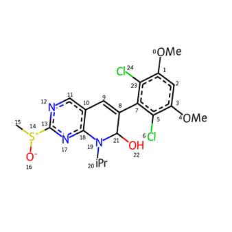 COc1cc(OC)c(Cl)c(C2=Cc3cnc([S+](C)[O-])nc3N(C(C)C)C2O)c1Cl